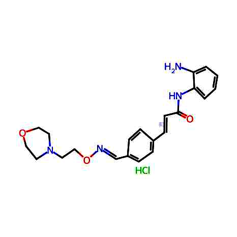 Cl.Nc1ccccc1NC(=O)/C=C/c1ccc(C=NOCCN2CCOCC2)cc1